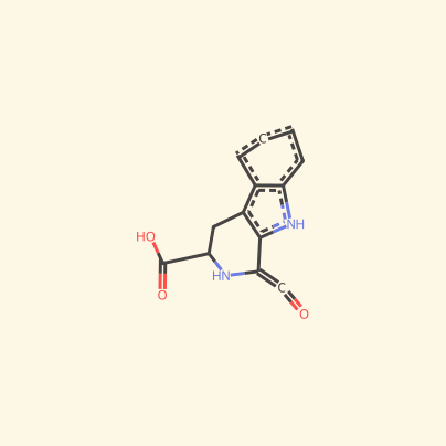 O=C=C1NC(C(=O)O)Cc2c1[nH]c1ccccc21